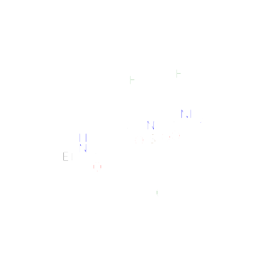 CCNC(=O)c1ccc(CN(C(C(N)=O)c2cc(F)cc(F)c2)S(=O)(=O)c2ccc(Cl)cc2)cc1